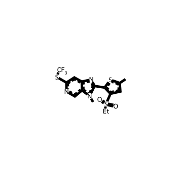 CCS(=O)(=O)c1cc(C)sc1-c1nc2cc(SC(F)(F)F)ncc2n1C